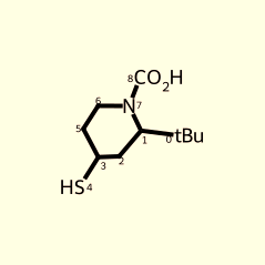 CC(C)(C)C1CC(S)CCN1C(=O)O